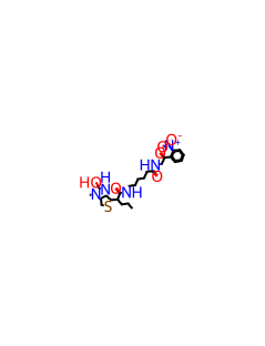 CCCC(C(=O)NCCCCCC(=O)NCC(=O)c1ccccc1[N+](=O)[O-])C1SCC2C1NC(O)N2C